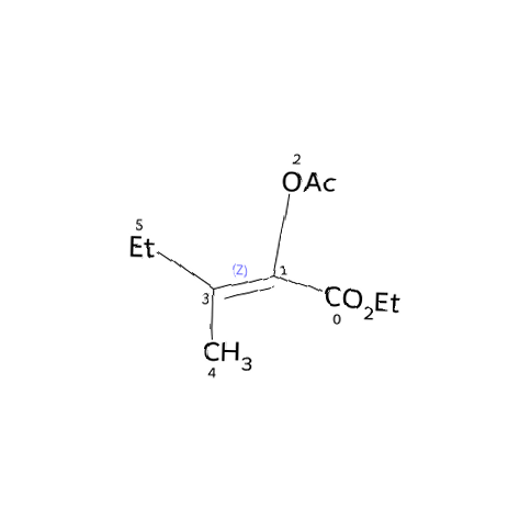 CCOC(=O)/C(OC(C)=O)=C(\C)CC